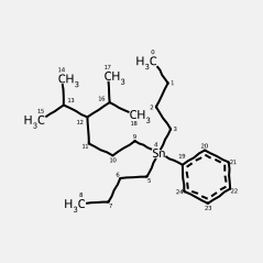 CCC[CH2][Sn]([CH2]CCC)([CH2]CCC(C(C)C)C(C)C)[c]1ccccc1